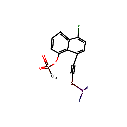 O=S(=O)(Oc1cccc2c(F)ccc(C#CSP(I)I)c12)C(F)(F)F